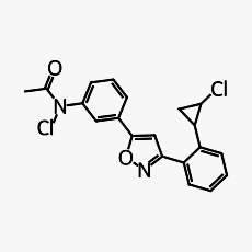 CC(=O)N(Cl)c1cccc(-c2cc(-c3ccccc3C3CC3Cl)no2)c1